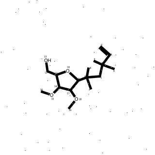 C=CC(C)(C)CC(C)(C)C1OC(CO)C(OC)C1OC